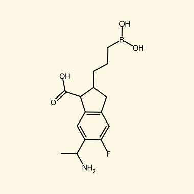 CC(N)c1cc2c(cc1F)CC(CCCB(O)O)C2C(=O)O